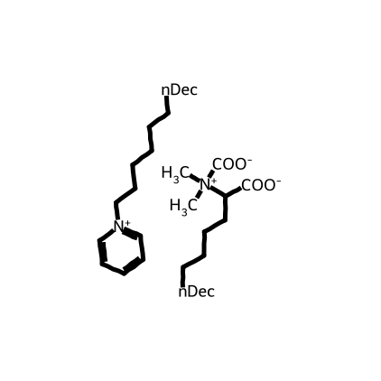 CCCCCCCCCCCCCCC(C(=O)[O-])[N+](C)(C)C(=O)[O-].CCCCCCCCCCCCCCCC[n+]1ccccc1